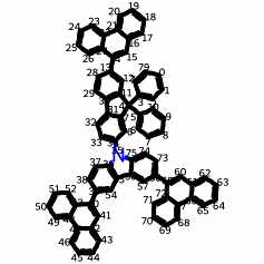 c1ccc(C2(c3ccccc3)c3cc(-c4cc5ccccc5c5ccccc45)ccc3-c3ccc(-n4c5ccc(-c6cc7ccccc7c7ccccc67)cc5c5cc(-c6cc7ccccc7c7ccccc67)ccc54)cc32)cc1